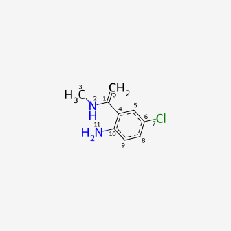 C=C(NC)c1cc(Cl)ccc1N